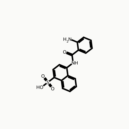 Nc1ccccc1C(=O)Nc1ccc(S(=O)(=O)O)c2ccccc12